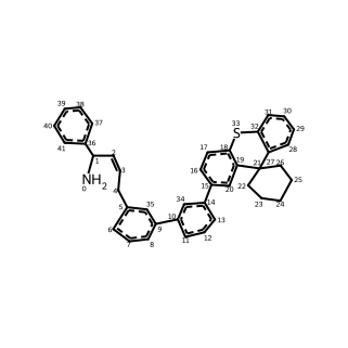 NC(/C=C\Cc1cccc(-c2cccc(-c3ccc4c(c3)C3(CCCCC3)c3ccccc3S4)c2)c1)c1ccccc1